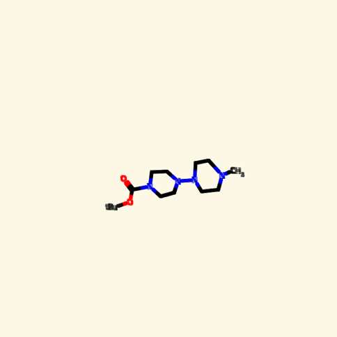 CN1CCN(N2CCN(C(=O)OC(C)(C)C)CC2)CC1